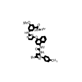 CCCNC(=O)c1cc(Nc2nccc(Oc3ccc(NC(=O)Nc4cc(C(C)C)nn4-c4ccc(C)cc4)c4ccccc34)n2)cc(OC)c1